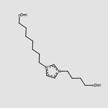 CCCCCCCCCCCCCCCCC[n+]1ccn(CCCCCCCCCCCCCC)c1